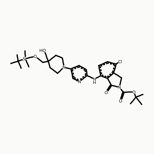 CC(C)(C)OC(=O)N1Cc2c(Cl)ccc(Nc3ccc(N4CCC(O)(CO[Si](C)(C)C(C)(C)C)CC4)cn3)c2C1=O